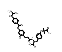 CC(C)(Oc1ccc(C[C@H](NC(=O)CCc2ccc(OC(=O)c3ccc(NC(=N)N)cc3)cc2Cl)C(=O)O)cc1)C(=O)O